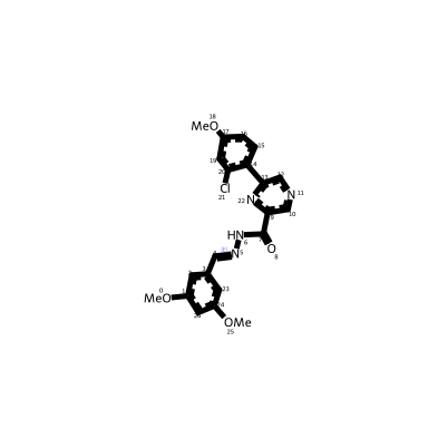 COc1cc(/C=N/NC(=O)c2cncc(-c3ccc(OC)cc3Cl)n2)cc(OC)c1